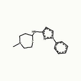 CN1CCCC(Nc2ccn(-c3ccccc3)n2)CC1